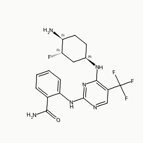 NC(=O)c1ccccc1Nc1ncc(C(F)(F)F)c(N[C@@H]2CC[C@H](N)[C@@H](F)C2)n1